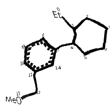 CCC1CCCCC1c1cccc(COC)c1